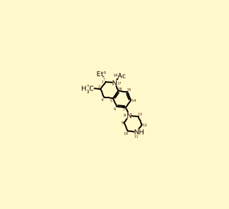 CC[C@H]1C(C)Cc2cc(N3CCNCC3)ccc2N1C(C)=O